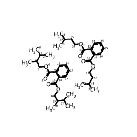 CC(C)C(C)COC(=O)c1ccccc1C(=O)OCC(C)C(C)C.CC(C)CCOC(=O)c1ccccc1C(=O)OCCC(C)C